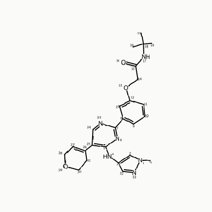 Cn1cc(Nc2nc(-c3cccc(OCC(=O)NC(C)(C)C)c3)ncc2C2=CCOCC2)cn1